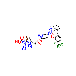 O=C(O)Nc1nc(CCOc2ccc(NC(=O)C3=C(c4ccc(C(F)(F)F)cc4)CCCC3)cn2)cs1